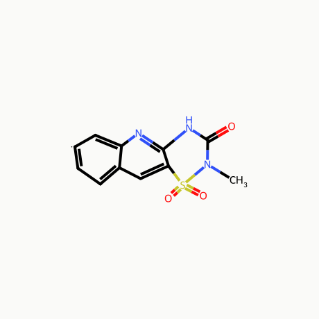 CN1C(=O)Nc2nc3c[c]ccc3cc2S1(=O)=O